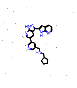 c1cnc2[nH]c(-c3n[nH]c4ncc(-c5cncc(CNCC6CCCC6)c5)cc34)cc2c1